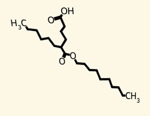 CCCCCCCCCCOC(=O)C(CCCCCC)CCCC(=O)O